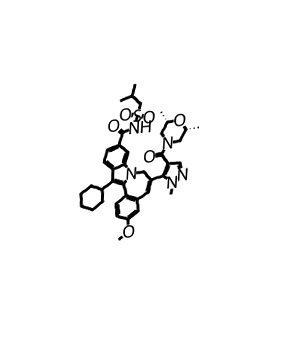 COc1ccc2c(c1)C=C(c1c(C(=O)N3C[C@@H](C)O[C@@H](C)C3)cnn1C)Cn1c-2c(C2CCCCC2)c2ccc(C(=O)NS(=O)(=O)CC(C)C)cc21